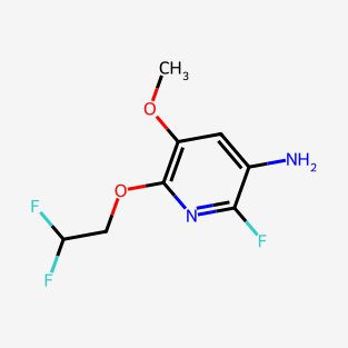 COc1cc(N)c(F)nc1OCC(F)F